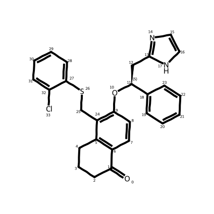 O=C1CCCc2c1ccc(O[C@@H](Cc1ncc[nH]1)c1ccccc1)c2CSc1ccccc1Cl